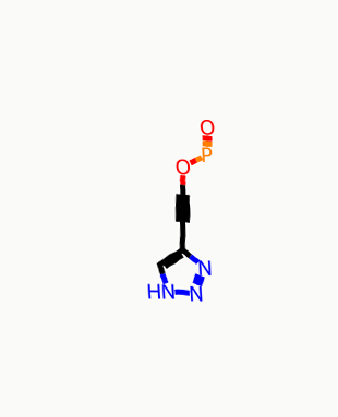 O=POC#Cc1c[nH]nn1